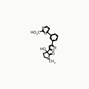 CN1CCC(O)(c2cc(-c3cccc(-c4ccnc(C(=O)O)n4)c3)no2)C1=O